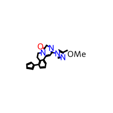 COCc1cn(C2=NCC(=O)N3CCc4c(C5=C=CC=C5)cccc4C3=C2)cn1